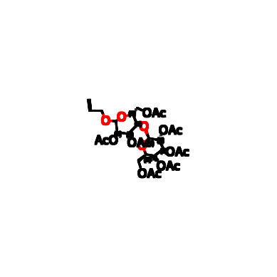 C=CCOC1O[C@H](COC(C)=O)[C@@H](O[C@@H]2O[C@H](COC(C)=O)[C@H](OC(C)=O)[C@H](OC(C)=O)[C@H]2OC(C)=O)[C@H](OC(C)=O)[C@H]1OC(C)=O